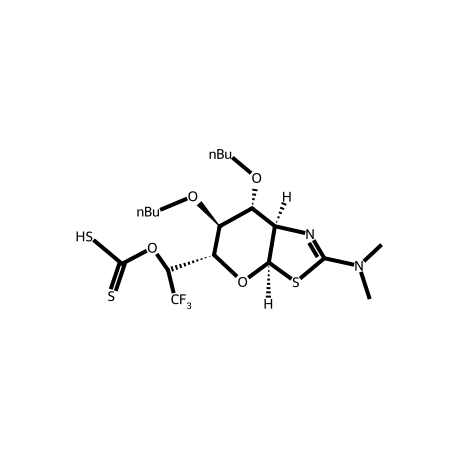 CCCCO[C@@H]1[C@H]2N=C(N(C)C)S[C@H]2O[C@H](C(OC(=S)S)C(F)(F)F)[C@H]1OCCCC